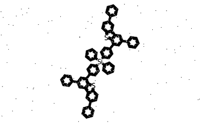 c1ccc(-c2ccc3sc4c(-c5ccc([Si](c6ccccc6)(c6ccccc6)c6ccc(-c7cc(-c8ccccc8)cc8c7sc7ccc(-c9ccccc9)cc78)cc6)cc5)cc(-c5ccccc5)cc4c3c2)cc1